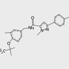 Cc1cc(CNC(=O)c2cc(-c3ccc(C(C)C)cc3)nn2C)ccc1OC(C)(C)C(=O)O